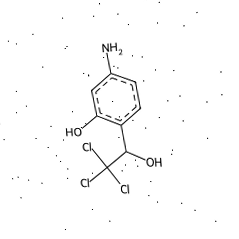 Nc1ccc(C(O)C(Cl)(Cl)Cl)c(O)c1